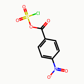 O=C(OS(=O)(=O)Cl)c1ccc([N+](=O)[O-])cc1